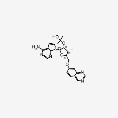 C[C@H]1[C@@H](OC(C)(C)O)[C@H](n2ccc3c(N)ncnc32)O[C@@H]1COc1ccc2cncnc2c1